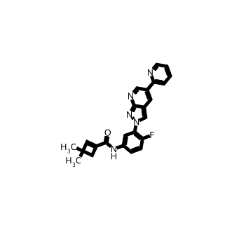 CC1(C)C=C(C(=O)Nc2ccc(F)c(-n3cc4cc(-c5ccccn5)cnc4n3)c2)C1